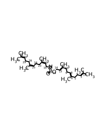 CC(C)=CCCC(C)=CCCC(C)=CCO[PH](=O)OCC=C(C)CCC=C(C)CCC=C(C)C